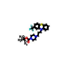 CC(C)(C)OC(=O)N1CCN(CCCN2c3ccccc3Sc3ccc(C(F)(F)F)cc32)CC1